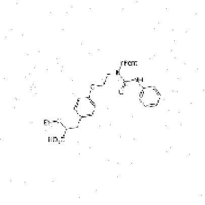 CCCCCN(CCOc1ccc(CC(OCC)C(=O)O)cc1)C(=O)Nc1ccccc1